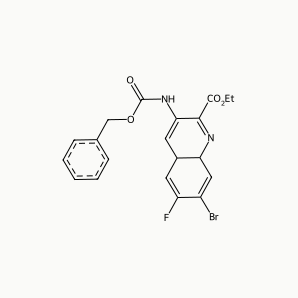 CCOC(=O)C1=NC2C=C(Br)C(F)=CC2C=C1NC(=O)OCc1ccccc1